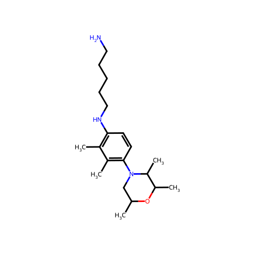 Cc1c(NCCCCCN)ccc(N2CC(C)OC(C)C2C)c1C